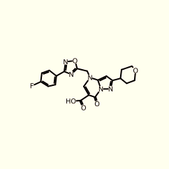 O=C(O)c1cn(Cc2nc(-c3ccc(F)cc3)no2)c2cc(C3CCOCC3)nn2c1=O